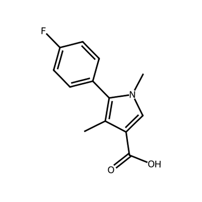 Cc1c(C(=O)O)cn(C)c1-c1ccc(F)cc1